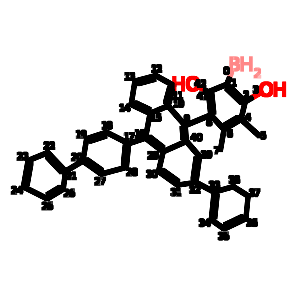 Bc1c(O)c(C)c(C)c(-c2c3ccccc3c(-c3ccc(-c4ccccc4)cc3)c3ccc(C4=CC=CCC4)cc23)c1O